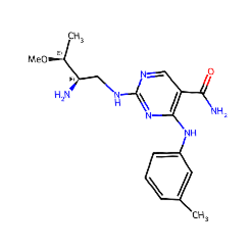 CO[C@@H](C)[C@H](N)CNc1ncc(C(N)=O)c(Nc2cccc(C)c2)n1